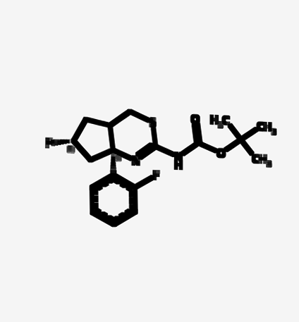 CC(C)(C)OC(=O)NC1=N[C@@]2(c3ccccc3F)C[C@H](F)CC2CS1